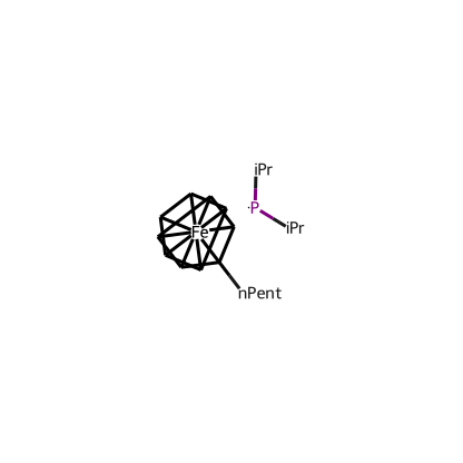 CC(C)[P]C(C)C.CCCCC[C]12[CH]3[CH]4[CH]5[CH]1[Fe]45321678[CH]2[CH]1[CH]6[CH]7[CH]28